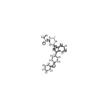 C=C(C)C(=O)N1CCC[C@@H](n2nc(-c3ccc(Oc4ccccc4)cc3)c3cncnc32)C1